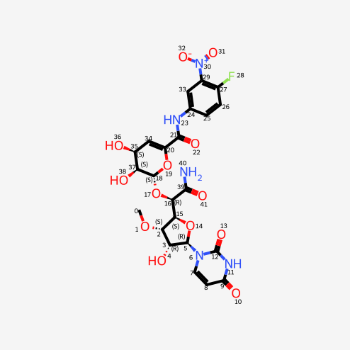 CO[C@H]1[C@@H](O)[C@H](n2ccc(=O)[nH]c2=O)O[C@@H]1[C@@H](O[C@H]1OC(C(=O)Nc2ccc(F)c([N+](=O)[O-])c2)=C[C@H](O)[C@@H]1O)C(N)=O